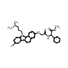 COC(=O)C(NC(=O)COc1ccc2c(ccc3c4cc(Cl)ccc4n(CCCN(C)C)c23)c1)c1ccccc1